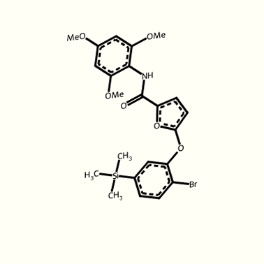 COc1cc(OC)c(NC(=O)c2ccc(Oc3cc([Si](C)(C)C)ccc3Br)o2)c(OC)c1